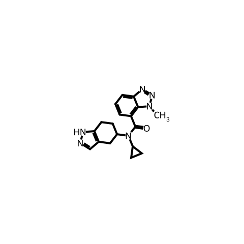 Cn1nnc2cccc(C(=O)N(C3CC3)C3CCc4[nH]ncc4C3)c21